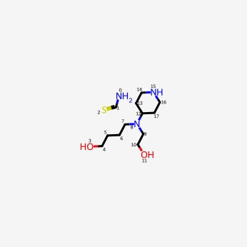 NC=S.OCCCCN(CCO)C1CCNCC1